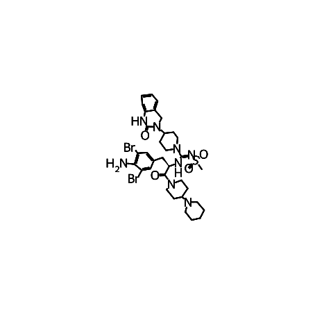 CS(=O)(=O)N=C(N[C@H](Cc1cc(Br)c(N)c(Br)c1)C(=O)N1CCC(N2CCCCC2)CC1)N1CCC(N2Cc3ccccc3NC2=O)CC1